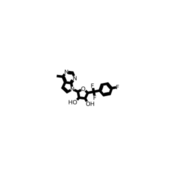 Cc1ncnc2c1ccn2C1OC(C(F)(F)c2ccc(F)cc2)C(O)C1O